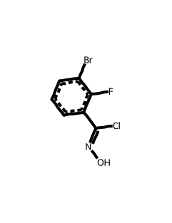 O/N=C(\Cl)c1cccc(Br)c1F